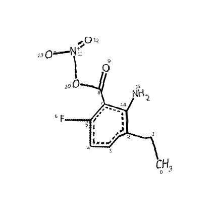 CCc1ccc(F)c(C(=O)O[N+](=O)[O-])c1N